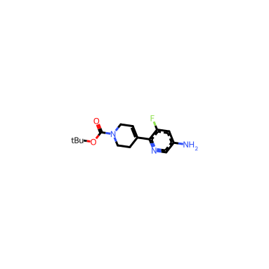 CC(C)(C)OC(=O)N1CC=C(c2ncc(N)cc2F)CC1